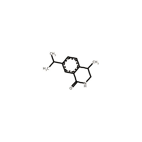 CC(C)c1ccc2c(c1)C(=O)NCC2C